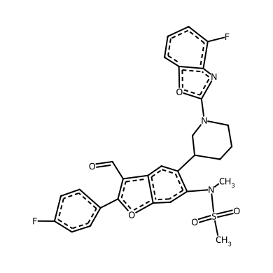 CN(c1cc2oc(-c3ccc(F)cc3)c(C=O)c2cc1C1CCCN(c2nc3c(F)cccc3o2)C1)S(C)(=O)=O